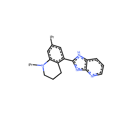 CC(C)c1cc(-c2nc3ncccc3[nH]2)c2c(c1)N(C(C)C)CCC2